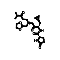 CN(C)C(=O)CCN(CC(=O)[C@H](CC1CC1)NC(=O)[C@@H]1CSC(=O)N1)CC1OCCO1